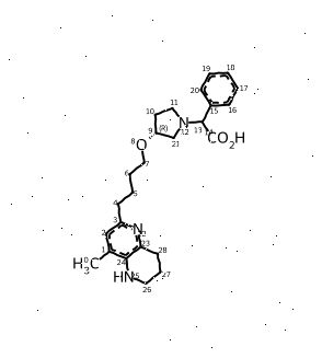 Cc1cc(CCCCO[C@@H]2CCN(C(C(=O)O)c3ccccc3)C2)nc2c1NCCC2